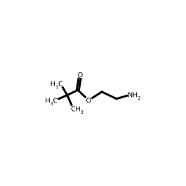 CC(C)(C)C(=O)OCCN